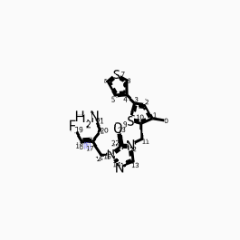 Cc1cc(-c2ccsc2)sc1Cn1cnn(C/C(=C/F)CN)c1=O